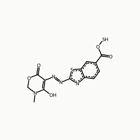 CN1COC(=O)C(N=Nc2nc3ccc(C(=O)OS)cc3s2)=C1O